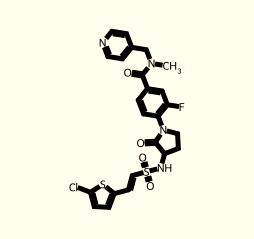 CN(Cc1ccncc1)C(=O)c1ccc(N2CCC(NS(=O)(=O)/C=C/c3ccc(Cl)s3)C2=O)c(F)c1